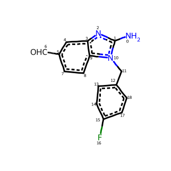 Nc1nc2cc(C=O)ccc2n1Cc1ccc(F)cc1